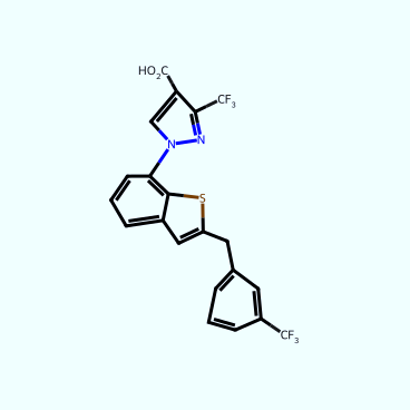 O=C(O)c1cn(-c2cccc3cc(Cc4cccc(C(F)(F)F)c4)sc23)nc1C(F)(F)F